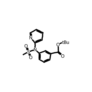 CC(C)(C)OC(=O)c1cccc(N(c2ccccn2)S(C)(=O)=O)c1